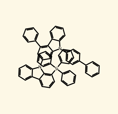 c1ccc(-c2ccc(-n3c4ccccc4c4c(-c5ccccc5)cc(-n5c6ccccc6c6cccc([Si](c7ccccc7)(c7ccccc7)c7ccccc7)c65)cc43)cc2)cc1